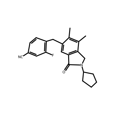 Cc1c(Cc2ccc(C#N)cc2F)cc2c(c1C)CN(C1CCCC1)C2=O